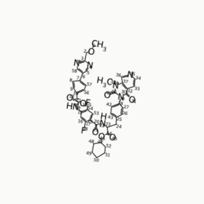 COCc1ncc(-c2ccc(S(=O)(=O)Nc3cc(F)c(C(=O)NC(Cc4ccc(-n5c(=O)c6ccncc6n(C)c5=O)cc4)C(=O)OC4CCCCC4)cc3F)cc2)cn1